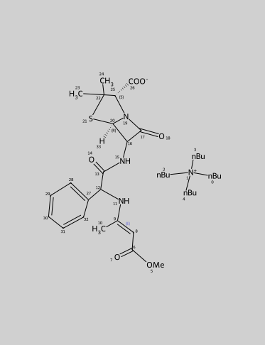 CCCC[N+](CCCC)(CCCC)CCCC.COC(=O)/C=C(\C)NC(C(=O)NC1C(=O)N2[C@@H]1SC(C)(C)[C@@H]2C(=O)[O-])c1ccccc1